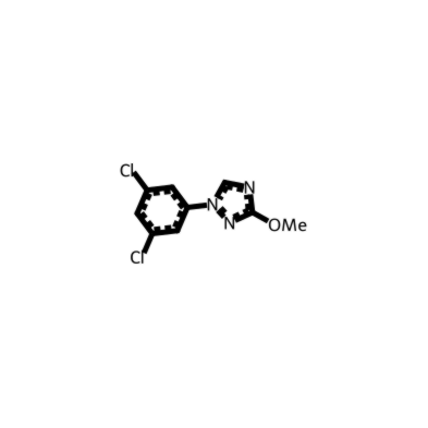 [CH2]Oc1ncn(-c2cc(Cl)cc(Cl)c2)n1